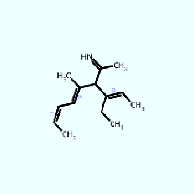 C/C=C\C=C(/C)C(C(C)=N)/C(=C/C)CC